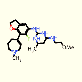 COCCNC1CC(C)NC(Nc2cc3c(c(C4=CCN(C)CCC4)c2F)OCC3)N1